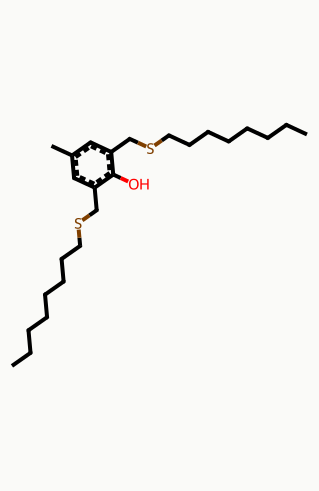 CCCCCCCCSCc1cc(C)cc(CSCCCCCCCC)c1O